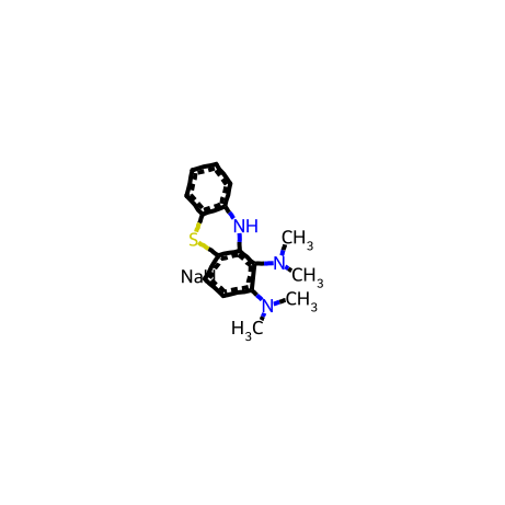 CN(C)c1ccc2c(c1N(C)C)Nc1ccccc1S2.[NaH]